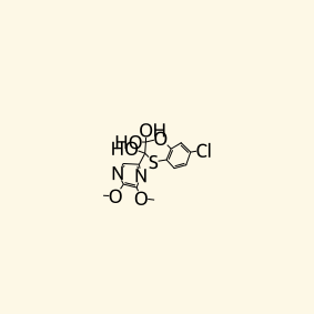 COc1ncc(C2(O)Sc3ccc(Cl)cc3OC2(O)O)nc1OC